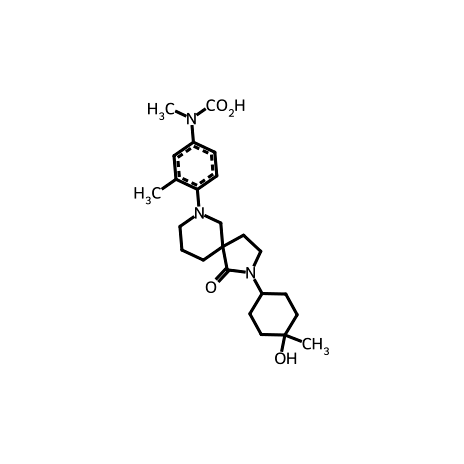 Cc1cc(N(C)C(=O)O)ccc1N1CCCC2(CCN(C3CCC(C)(O)CC3)C2=O)C1